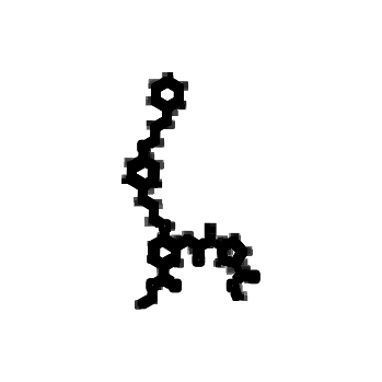 CCOC(=O)c1ccc(OCCCc2ccc(OCCCC3CCCCC3)cc2)c(CC(=O)N[C@H]2CC[C@@H](C(=O)OC)C2)c1